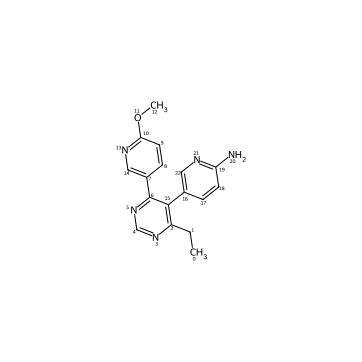 CCc1ncnc(-c2ccc(OC)nc2)c1-c1ccc(N)nc1